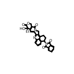 CC[C@@]1(O)C(=O)OCc2c1cc1n(c2=O)Cc2c-1nc1cccc3c1c2CCC3N1C(=O)c2ccccc2C1=O